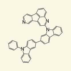 c1ccc(-n2c3ccccc3c3cc(-c4ccc5c6ccccc6n(-c6cc7c8c(cccc8n6)-c6ccncc6-7)c5c4)ccc32)cc1